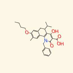 CCCCOc1cc2c(cc1C)-c1c(c(O)c(C(=O)O)c(=O)n1Cc1ccccc1)C(C(C)C)C2